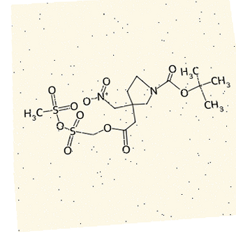 CC(C)(C)OC(=O)N1CCC(CC(=O)OCS(=O)(=O)OS(C)(=O)=O)(C[N+](=O)[O-])C1